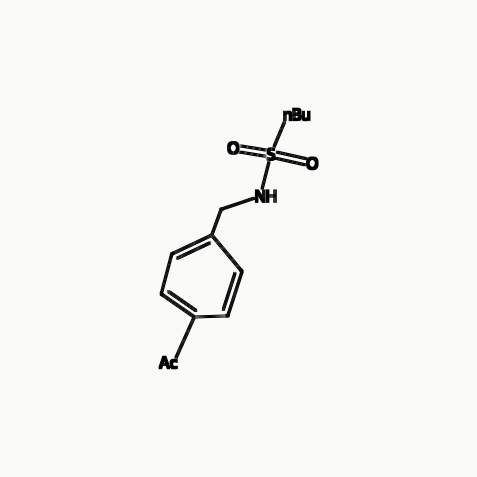 CCCCS(=O)(=O)NCc1ccc(C(C)=O)cc1